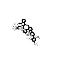 C=CC1=[N+](CC[Si](C)(C)C)C2C(=C)[n+]3ccc(C(C)(C)C)cc3-c3c(ccc4c3oc3nc(-c5c(C)cc(C)cc5C)ccc34)CCC2c2ccccc21